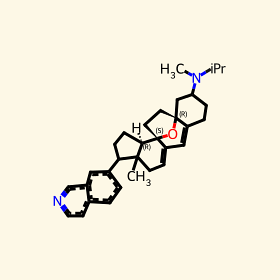 CC(C)N(C)C1CCC2=CC3=CCC4(C)C(c5ccc6ccncc6c5)CC[C@H]4[C@@]34CC[C@]2(C1)O4